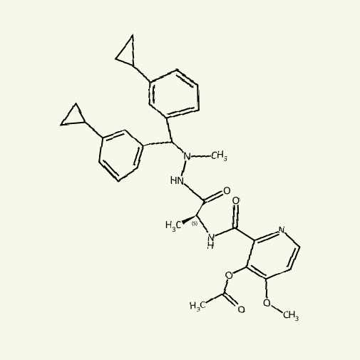 COc1ccnc(C(=O)N[C@@H](C)C(=O)NN(C)C(c2cccc(C3CC3)c2)c2cccc(C3CC3)c2)c1OC(C)=O